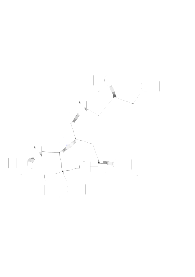 C=CCC(/C=N\CC(=C)CC)=C(/N=C)C(C)(C)C